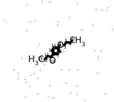 CCCCOc1ccc(C(=O)CCC)cc1